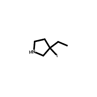 CCC1(I)CCNC1